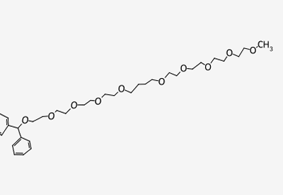 COCCOCCOCCOCCOCCCCOCCOCCOCCOCCOC(c1ccccc1)c1ccccc1